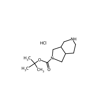 CC(C)(C)OC(=O)N1CC2CCNCC2C1.Cl